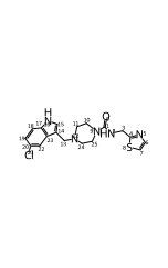 O=C(NCc1nccs1)N1CCN(Cc2c[nH]c3ccc(Cl)cc23)CC1